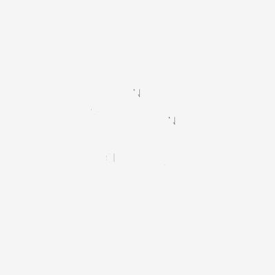 COc1ncnc(C(C)(C)C)c1Cl